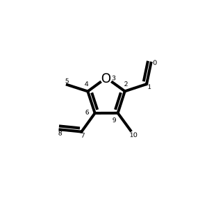 C=Cc1oc(C)c(C=C)c1C